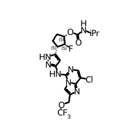 CC(C)NC(=O)O[C@H]1CC[C@@H](c2cc(Nc3ncc(Cl)c4nc(COC(F)(F)F)cn34)n[nH]2)[C@@H]1F